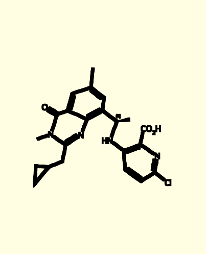 Cc1cc([C@@H](C)Nc2ccc(Cl)nc2C(=O)O)c2nc(CC3CC3)n(C)c(=O)c2c1